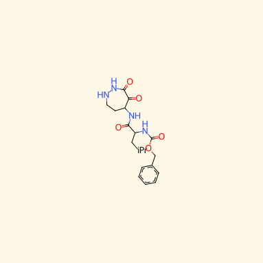 CC(C)CC(NC(=O)OCc1ccccc1)C(=O)NC1CCNNC(=O)C1=O